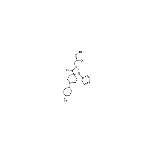 CC(C)[C@H]1CC[C@H](N2CCC3(CC2)C(=O)N(CC(=O)OC(C)(C)C)CN3c2ccccc2)CC1